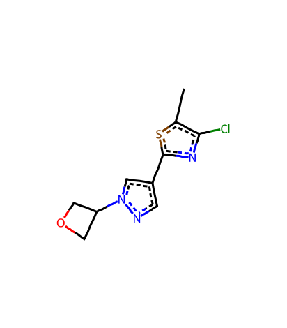 Cc1sc(-c2cnn(C3COC3)c2)nc1Cl